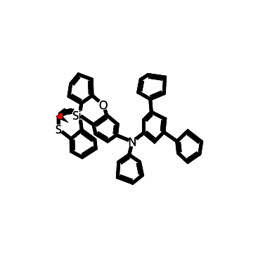 c1ccc(-c2cc(-c3ccccc3)cc(N(c3ccccc3)c3ccc4c(c3)Oc3ccccc3[Si]43c4ccccc4Sc4ccccc43)c2)cc1